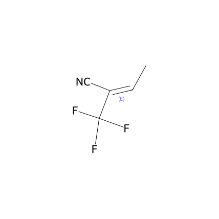 C/C=C(\C#N)C(F)(F)F